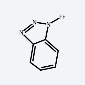 [CH2]Cn1nnc2ccccc21